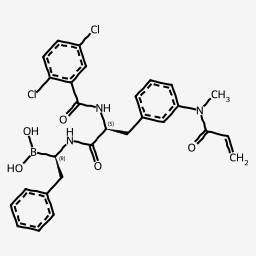 C=CC(=O)N(C)c1cccc(C[C@H](NC(=O)c2cc(Cl)ccc2Cl)C(=O)N[C@@H](Cc2ccccc2)B(O)O)c1